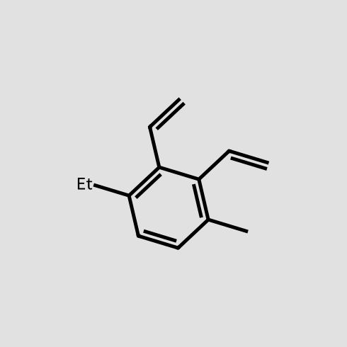 C=Cc1c(C)ccc(CC)c1C=C